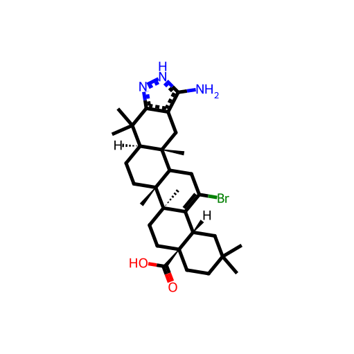 CC1(C)CC[C@]2(C(=O)O)CC[C@]3(C)C(=C(Br)CC4[C@@]5(C)Cc6c(n[nH]c6N)C(C)(C)[C@@H]5CC[C@]43C)[C@@H]2C1